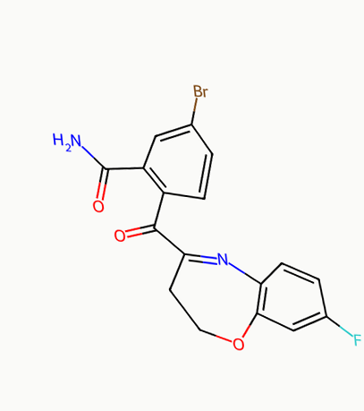 NC(=O)c1cc(Br)ccc1C(=O)C1=Nc2ccc(F)cc2OCC1